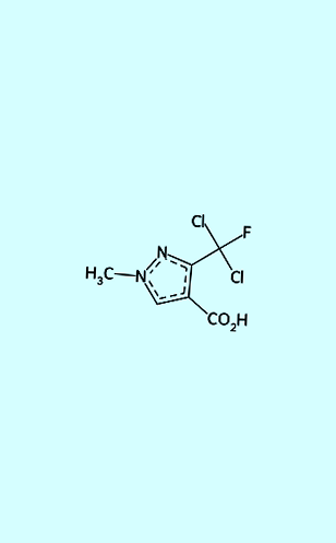 Cn1cc(C(=O)O)c(C(F)(Cl)Cl)n1